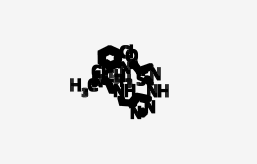 Cc1cccc(Cl)c1NC(=O)c1cnc(Nc2cc(CNCCN(C)C)ncn2)s1